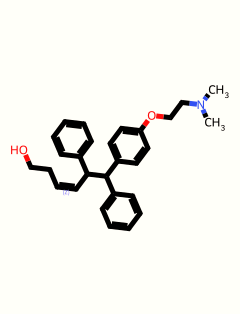 CN(C)CCOc1ccc(C(c2ccccc2)C(/C=C\CCO)c2ccccc2)cc1